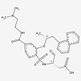 C[C@H](Cc1cccc2ccccc12)Oc1cc(C(=O)NCCN(C)C)ccc1S(=O)(=O)N[C@H](C=O)CC(=O)O